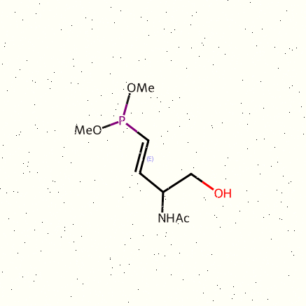 COP(/C=C/C(CO)NC(C)=O)OC